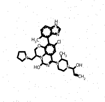 C=CC(O)N1CCN(C2=NC(O)N3c4c2cc(Cl)c(-c2c(C)ccc5[nH]cnc25)c4OCC3CN2CCCC2)[C@@H](C)C1